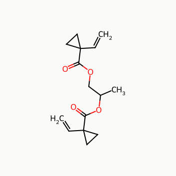 C=CC1(C(=O)OCC(C)OC(=O)C2(C=C)CC2)CC1